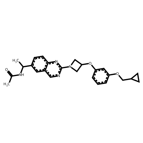 CC(=O)NC(C)c1ccc2nc(N3CC(Oc4cccc(OCC5CC5)c4)C3)ncc2c1